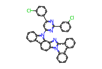 Clc1cccc(-c2cc(-n3c4ccccc4c4ccc5c(nc6c7ccccc7c7ccccc7n56)c43)nc(-c3cccc(Cl)c3)n2)c1